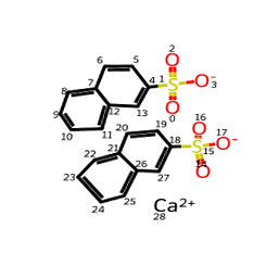 O=S(=O)([O-])c1ccc2ccccc2c1.O=S(=O)([O-])c1ccc2ccccc2c1.[Ca+2]